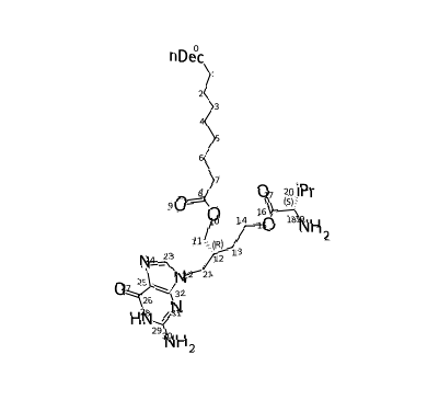 CCCCCCCCCCCCCCCCCC(=O)OC[C@H](CCOC(=O)[C@@H](N)C(C)C)Cn1cnc2c(=O)[nH]c(N)nc21